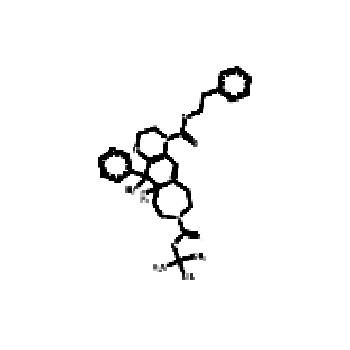 CC(C)(C)OC(=O)N1CCC2=CC3=C(OCCN3C(=O)OCCc3ccccc3)C(C)(c3ccccc3)C2(C)CC1